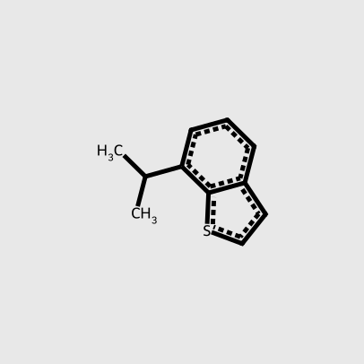 CC(C)c1cccc2ccsc12